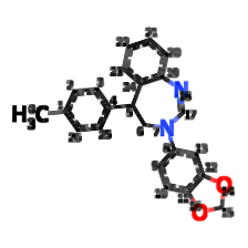 Cc1ccc(C2CN(c3ccc4c(c3)OCO4)C=Nc3ccccc32)cc1